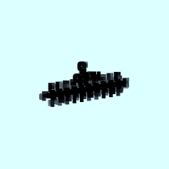 FC(F)(F)C(F)(F)C(F)(F)C(F)(F)C(F)(F)C(F)(F)C(F)(F)C(F)(F)C(F)(F)C(F)(F)F.O=[SH](=O)O